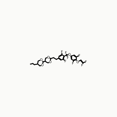 CCCC1COC(C2COC(CCc3cc(F)c(C(F)(F)Oc4cc(F)c(OC=C(F)F)c(F)c4)c(F)c3)OC2)OC1